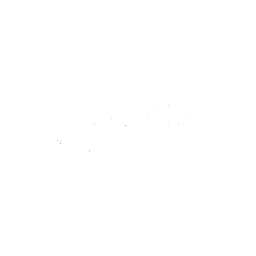 CCN(C)C1COC2(CCN(S(=O)(=O)c3ccc(C#N)cc3)CC2)C1